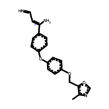 Cc1ncoc1COc1ccc(Oc2ccc(/C(N)=C/C=N)cc2)cc1